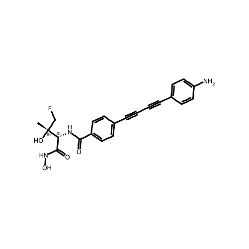 C[C@@](O)(CF)[C@H](NC(=O)c1ccc(C#CC#Cc2ccc(N)cc2)cc1)C(=O)NO